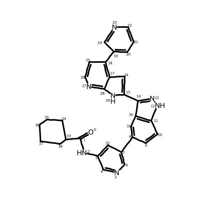 O=C(Nc1cncc(-c2ccc3[nH]nc(-c4cc5c(-c6cccnc6)ccnc5[nH]4)c3c2)c1)C1CCCCC1